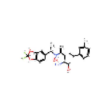 C=C([C@H](CCc1cccc(C)c1)C(N)CO)N(O)[C@H](C)c1ccc2c(c1)OC(F)(F)O2